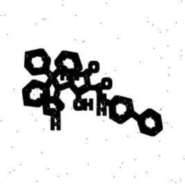 O=C(Nc1ccc(-c2ccccc2)cc1)C1=C(O)C(C(c2c[nH]cn2)C(c2ccccc2)(c2ccccc2)c2ccccc2)NC1=O